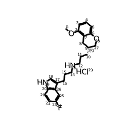 COc1cccc2c1C[C@@H](CCCNCCCc1c[nH]c3ccc(F)cc13)CO2.Cl